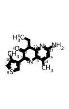 CCC1C(=O)C(c2cscc2C)=Nc2c(C)cc(N)nc21